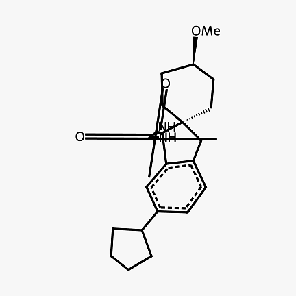 CO[C@H]1CC[C@]2(CC1)Cc1ccc(C3CCCC3)cc1C21NC(=O)NC1=O